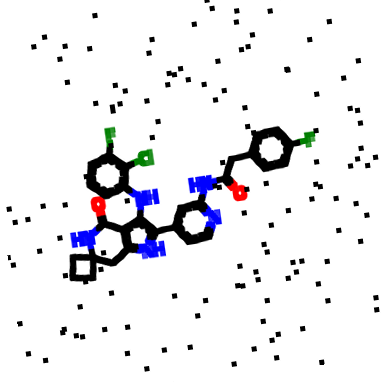 O=C(Cc1ccc(F)cc1)Nc1cc(-c2[nH]c3c(c2Nc2cccc(F)c2Cl)C(=O)NC2(CCC2)C3)ccn1